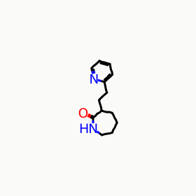 O=C1NCCCCC1CCc1ccccn1